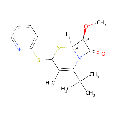 CO[C@H]1C(=O)N2C(C(C)(C)C)=C(C)C(Sc3ccccn3)S[C@@H]12